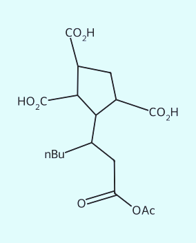 CCCCC(CC(=O)OC(C)=O)C1C(C(=O)O)CC(C(=O)O)C1C(=O)O